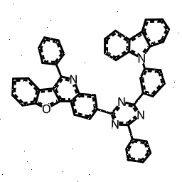 c1ccc(-c2nc(-c3cccc(-n4c5ccccc5c5ccccc54)c3)nc(-c3ccc4c(c3)nc(-c3ccccc3)c3c5ccccc5oc43)n2)cc1